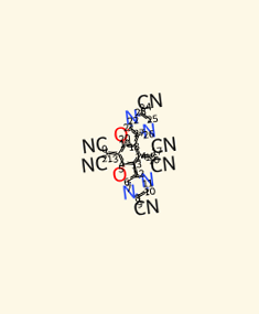 N#CC(C#N)=c1c2oc3nc(C#N)cnc3c2c(=C(C#N)C#N)c2c1oc1nc(C#N)cnc12